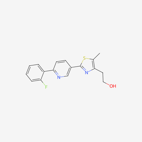 Cc1sc(-c2ccc(-c3ccccc3F)nc2)nc1CCO